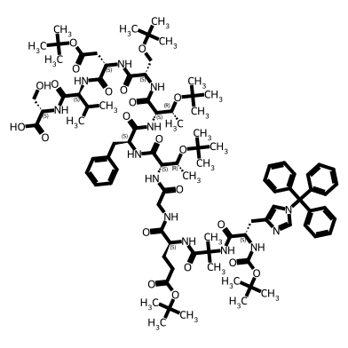 CC(C)[C@H](NC(=O)[C@H](CC(=O)OC(C)(C)C)NC(=O)[C@H](COC(C)(C)C)NC(=O)[C@@H](NC(=O)[C@H](Cc1ccccc1)NC(=O)[C@@H](NC(=O)CNC(=O)[C@H](CCC(=O)OC(C)(C)C)NC(=O)C(C)(C)NC(=O)[C@H](Cc1cn(C(c2ccccc2)(c2ccccc2)c2ccccc2)cn1)NC(=O)OC(C)(C)C)[C@@H](C)OC(C)(C)C)[C@@H](C)OC(C)(C)C)C(=O)N[C@@H](CO)C(=O)O